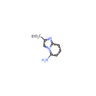 CCOC(=O)c1cn2c(N)cccc2n1